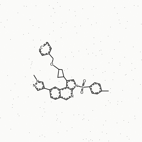 Cc1ccc(S(=O)(=O)n2cc(C3CC(OCc4ccccc4)C3)c3c4cc(-c5cnn(C)c5)ccc4cnc32)cc1